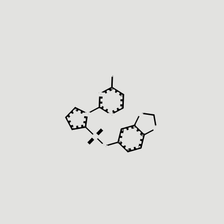 O=S(=O)(Nc1ccc2c(c1)OCO2)c1cccn1-c1nccc(Cl)n1